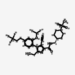 CCc1nc(C(=O)NC[C@H]2CC[C@H](S(C)(=O)=O)CC2)c(C#N)n1-c1ccc(CCC(F)(F)F)cc1OC(F)F